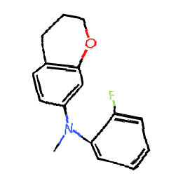 CN(c1ccc2c(c1)OCCC2)c1ccccc1F